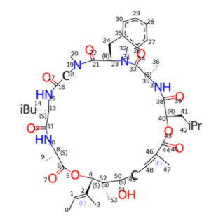 C/C=C(\C)[C@H]1OC(=O)[C@H](C)NC(=O)[C@H](C(C)CC)NC(=O)CN(C)C(=O)[C@@H](Cc2ccccc2)N(C)C(=O)[C@H](C)NC(=O)[C@@H](CC(C)C)OC(=O)/C(C)=C/C[C@H](O)[C@@H]1C